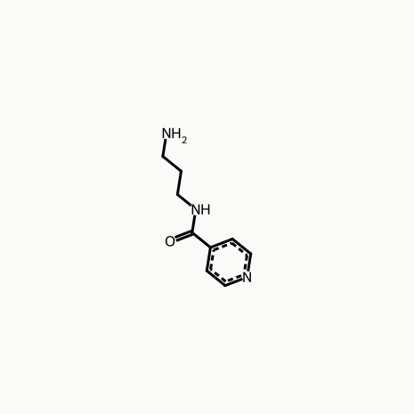 NCCCNC(=O)c1ccncc1